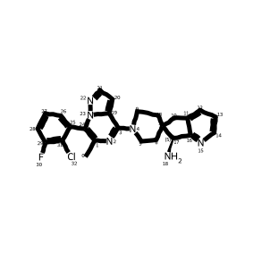 Cc1nc(N2CCC3(CC2)Cc2cccnc2[C@H]3N)c2ccnn2c1-c1cccc(F)c1Cl